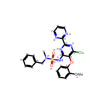 COc1ccccc1Oc1c(Cl)nc(-c2ncccn2)nc1NS(=O)(=O)N(C)Cc1ccccc1